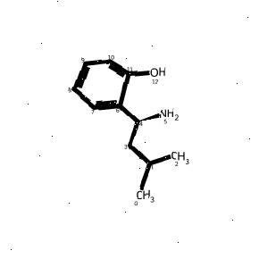 CC(C)C[C@H](N)c1ccccc1O